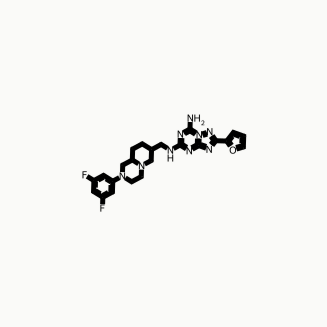 Nc1nc(NCC2CCC3CN(c4cc(F)cc(F)c4)CCN3C2)nc2nc(-c3ccco3)nn12